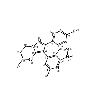 Cc1cc(-c2c(-c3ccc(F)cn3)nn3c2OC(C)CC3)c2cn[nH]c2n1